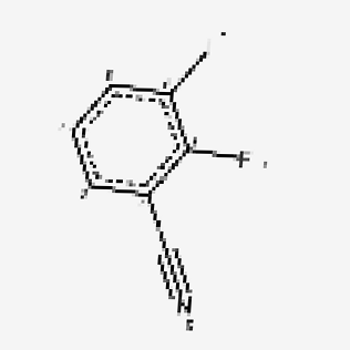 N#Cc1cccc(I)c1F